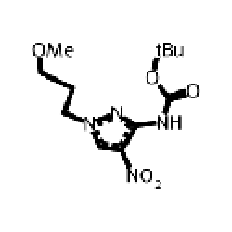 COCCCn1cc([N+](=O)[O-])c(NC(=O)OC(C)(C)C)n1